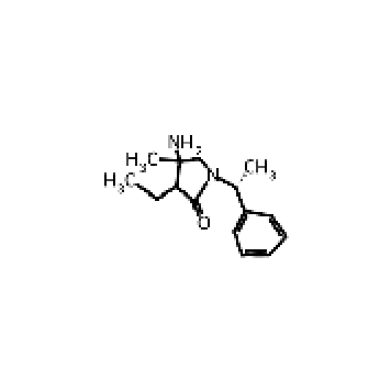 CCC1C(=O)N([C@H](C)c2ccccc2)CC1(C)N